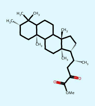 COC(=O)C(=O)C[C@@H](C)[C@H]1CC[C@@]2(C)C3CCC4C(C)(C)[C@@H](C)CC[C@]4(C)C3CC[C@]12C